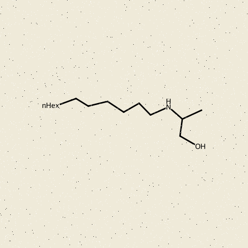 CCCCCCCCCCCCNC(C)CO